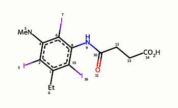 CCc1c(I)c(NC)c(I)c(NC(=O)CCC(=O)O)c1I